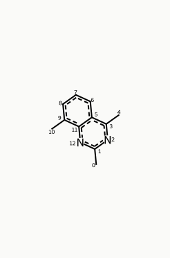 Cc1nc(C)c2cccc(C)c2n1